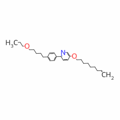 C=CCCCCCCCOc1ccc(-c2ccc(CCCCCOCCC)cc2)nc1